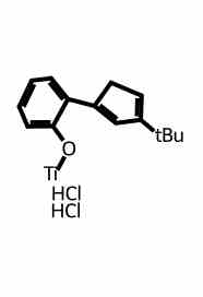 CC(C)(C)C1=CCC(c2ccccc2[O][Ti])=C1.Cl.Cl